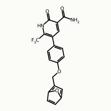 NC(=O)c1cc(-c2ccc(OCc3cc4ccc3o4)cc2)c(C(F)(F)F)[nH]c1=O